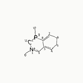 C[N+]1=CC2=CCCC=C2P(C)[CH-]1